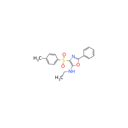 CCNc1oc(-c2ccccc2)nc1S(=O)(=O)c1ccc(C)cc1